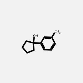 Cc1cccc(C2(O)CCCC2)c1